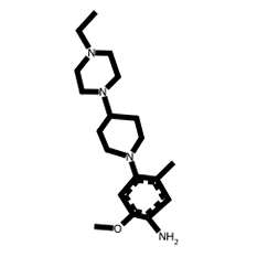 CCN1CCN(C2CCN(c3cc(OC)c(N)cc3C)CC2)CC1